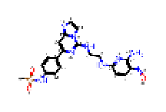 CS(=O)(=O)Nc1ccc(-c2cc3nccn3c(NCCNc3ccc(N=O)c(N)n3)n2)cc1